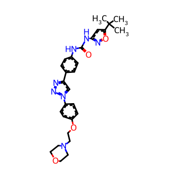 CC(C)(C)c1cc(NC(=O)Nc2ccc(-c3cn(-c4ccc(OCCN5CCOCC5)cc4)nn3)cc2)no1